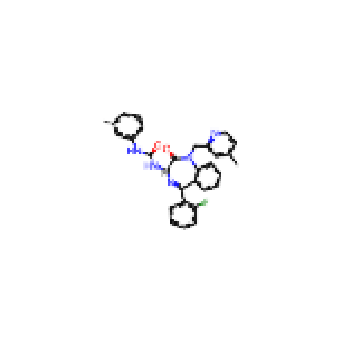 Cc1cccc(NC(=O)N[C@@H]2N=C(c3ccccc3F)c3ccccc3N(Cc3cc(C)ccn3)C2=O)c1